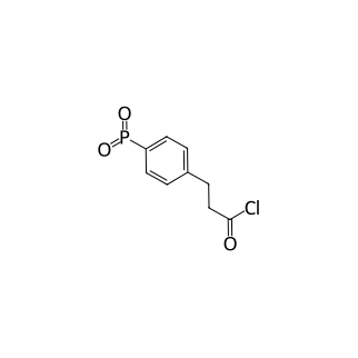 O=C(Cl)CCc1ccc(P(=O)=O)cc1